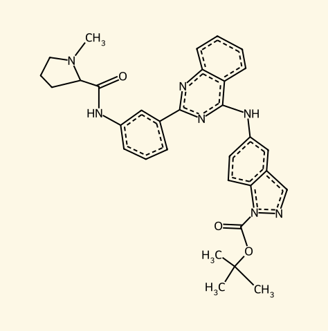 CN1CCCC1C(=O)Nc1cccc(-c2nc(Nc3ccc4c(cnn4C(=O)OC(C)(C)C)c3)c3ccccc3n2)c1